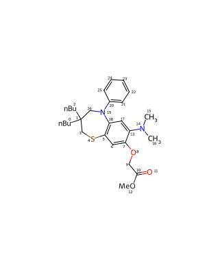 CCCCC1(CCCC)CSc2cc(OCC(=O)OC)c(N(C)C)cc2N(c2ccccc2)C1